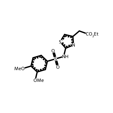 CCOC(=O)Cc1csc(NS(=O)(=O)c2ccc(OC)c(OC)c2)n1